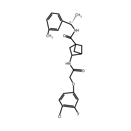 Cc1cccc([C@H](C)NC(=O)C23CC(C2)C(NC(=O)COc2ccc(Cl)c(F)c2)C3)c1